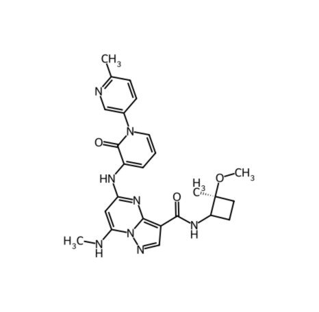 CNc1cc(Nc2cccn(-c3ccc(C)nc3)c2=O)nc2c(C(=O)NC3CC[C@]3(C)OC)cnn12